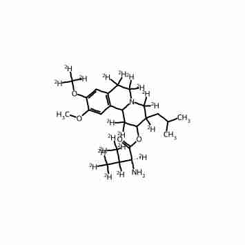 [2H]C([2H])([2H])Oc1cc2c(cc1OC)C1N(C([2H])([2H])C2([2H])[2H])C([2H])([2H])C([2H])(CC(C)C)C(OC(=O)[C@@]([2H])(N)C([2H])(C([2H])([2H])[2H])C([2H])([2H])[2H])C1([2H])[2H]